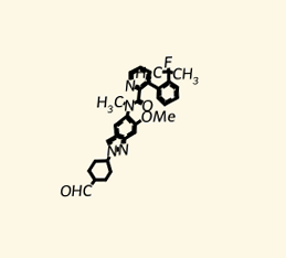 COc1cc2nn(C3CCC(C=O)CC3)cc2cc1N(C)C(=O)c1ncccc1-c1ccccc1C(C)(C)F